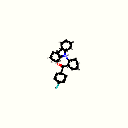 O=C(c1ccc(F)cc1)c1ccccc1-n1c2ccccc2c2ccccc21